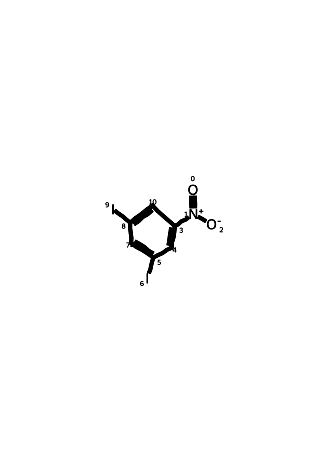 O=[N+]([O-])c1cc(I)[c]c(I)c1